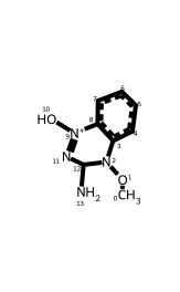 CON1c2ccccc2[N+](O)=NC1N